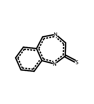 S=c1cncc2ccccc2n1